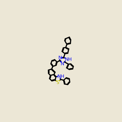 c1ccc(-c2ccc(C3=NC(c4cccc(-c5ccc6ccc7c(c6c5)NC(c5ccccc5)S7)c4)=NC(c4ccccc4)N3)cc2)cc1